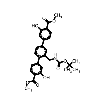 COC(=O)c1ccc(-c2ccc(-c3ccc(C(=O)OC)c(O)c3)c(CNC(=O)OC(C)(C)C)c2)cc1O